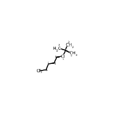 CC(C)(C)OCCCCCl